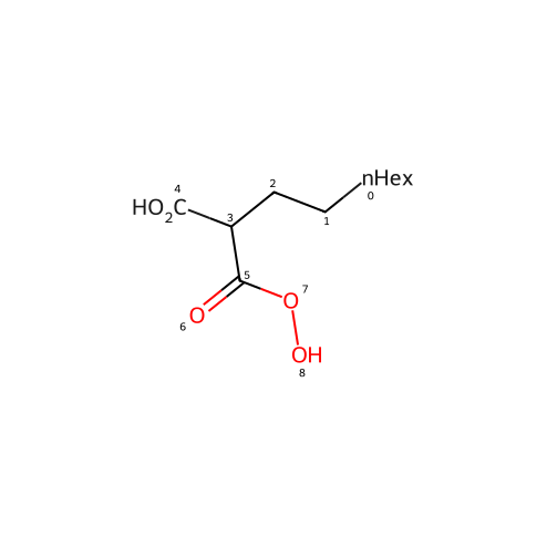 CCCCCCCCC(C(=O)O)C(=O)OO